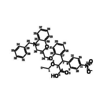 CCOC(C(=O)O)C(c1ccc([N+](=O)[O-])cc1)c1ccccc1OCC1CN(Cc2ccccc2)c2ccccc2O1